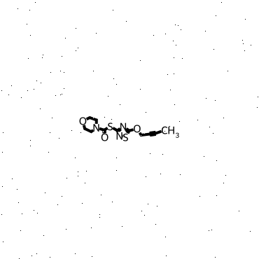 CC#CCOc1nc(SC(=O)N2CCOCC2)ns1